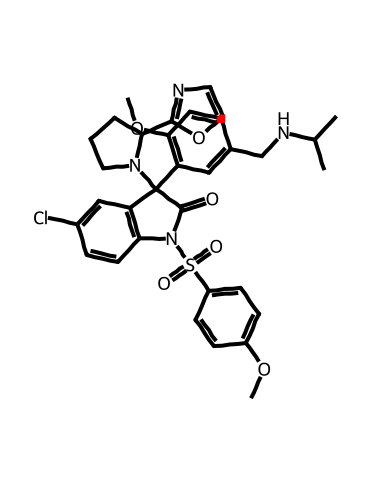 COc1ccc(S(=O)(=O)N2C(=O)C(c3cc(CNC(C)C)ccc3OC)(N3CCCC3c3ncco3)c3cc(Cl)ccc32)cc1